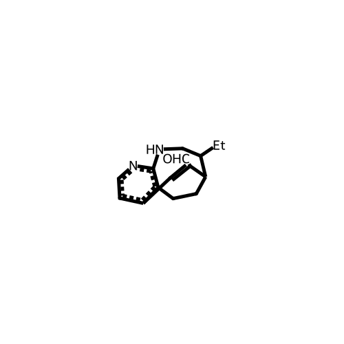 CCC1CNc2nccc3c2CCC1C(C=O)=C3